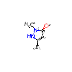 CCc1cc(=O)n(C)[nH]1